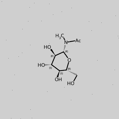 CC(=O)N(C)[C@@H]1O[C@H](CO)[C@@H](O)[C@H](O)[C@H]1O